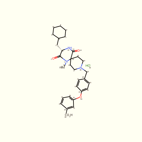 CCCCN1C(=O)[C@H](CC2CCCCC2)NC(=O)C12CCN(Cc1ccc(Oc3cccc(C(=O)O)c3)cc1)CC2.Cl